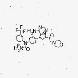 NC(=O)N(c1ccc(-c2cc(C(=O)CN3CCOCC3)n3ncnc(N)c23)cc1)c1cc(C(F)(F)F)ccc1F